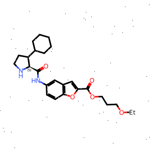 CCOCCCOC(=O)c1cc2cc(NC(=O)[C@H]3NCCC3C3CCCCC3)ccc2o1